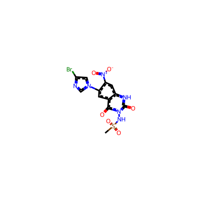 CS(=O)(=O)Nn1c(=O)[nH]c2cc([N+](=O)[O-])c(-n3cnc(Br)c3)cc2c1=O